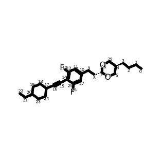 CCCC[C@H]1CO[C@H](CCc2cc(F)c(C#CC3CCC(CC)CC3)c(F)c2)OC1